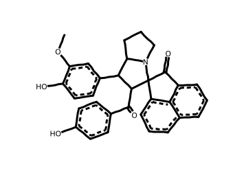 COc1cc(C2C3CCCN3C3(C(=O)c4cccc5cccc3c45)C2C(=O)c2ccc(O)cc2)ccc1O